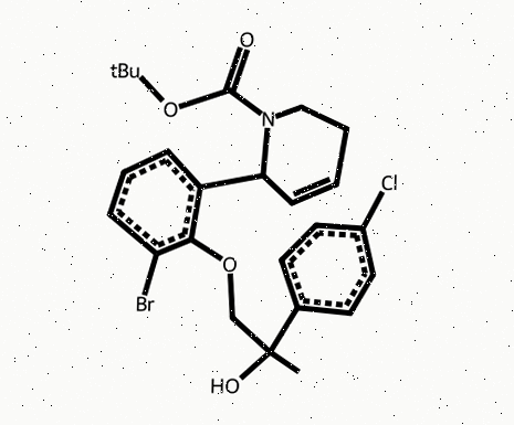 CC(C)(C)OC(=O)N1CCC=CC1c1cccc(Br)c1OCC(C)(O)c1ccc(Cl)cc1